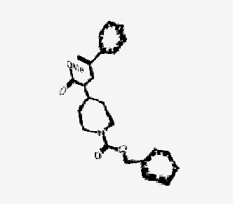 C=C(CC(C(=O)OC)C1CCN(C(=O)OCc2ccccc2)CC1)c1ccccc1